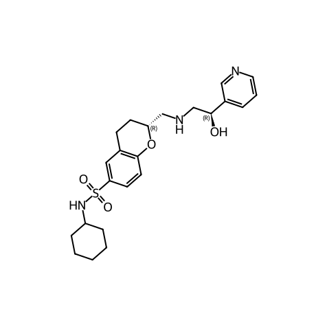 O=S(=O)(NC1CCCCC1)c1ccc2c(c1)CC[C@H](CNC[C@H](O)c1cccnc1)O2